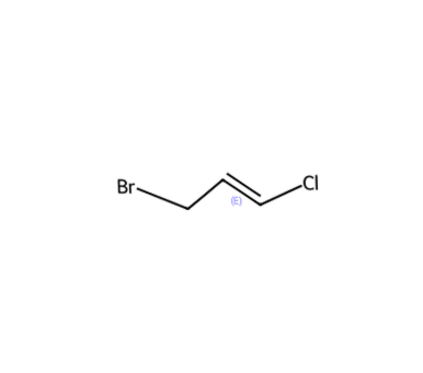 Cl/C=C/CBr